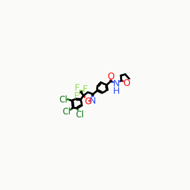 O=C(NC1CCCO1)c1ccc(C2=NOC(c3cc(Cl)c(Cl)c(Cl)c3)(C(F)(F)F)C2)cc1